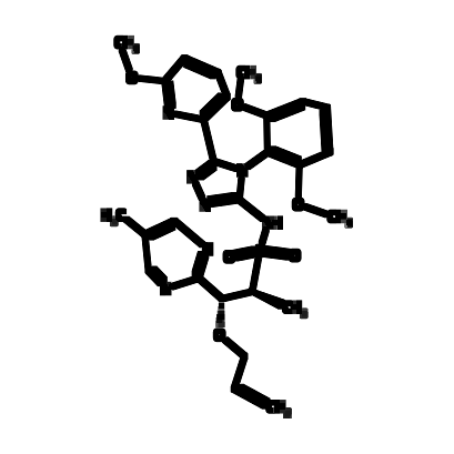 C=CCO[C@H](c1ncc(C)cn1)[C@H](C)S(=O)(=O)Nc1nnc(-c2cccc(OC)n2)n1-c1c(OC)cccc1OC